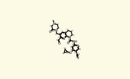 CN1CCN(Cc2cc3c(nc2C=O)N(C(=O)Nc2cc(OC4CC4)c(C#N)cn2)CCC3)C(=O)C1